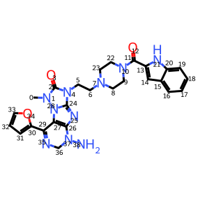 Cn1c(=O)n(CCN2CCN(C(=O)c3cc4ccccc4[nH]3)CC2)c2nc3c(n21)C(c1ccco1)=NCN3N